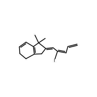 C=C/C=C(I)\C=C1/CC2=C(C=CCC2)C1(C)C